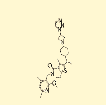 COc1nc(C)cc(C)c1CN1CCc2sc([C@H](C)C3CCC(N4CC(n5ccnn5)C4)CC3)c(C)c2C1=O